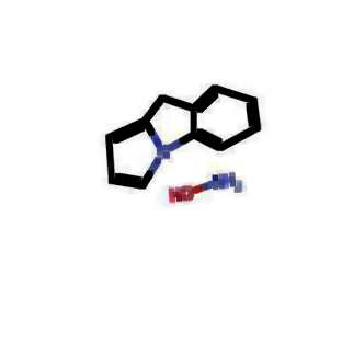 NO.c1ccc2c(c1)Cc1cccn1-2